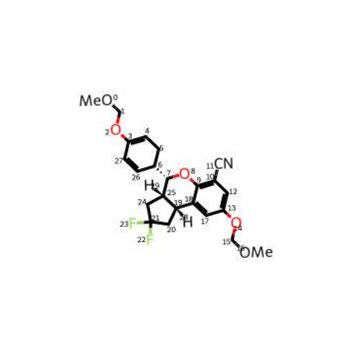 COCOC1=CCC([C@@H]2Oc3c(C#N)cc(OCOC)cc3[C@@H]3CC(F)(F)C[C@@H]32)C=C1